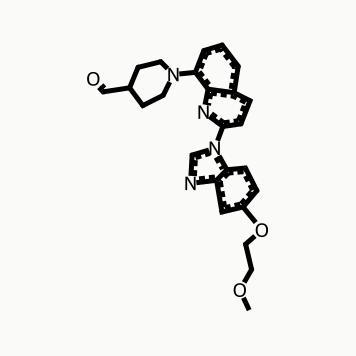 COCCOc1ccc2c(c1)ncn2-c1ccc2cccc(N3CCC(C=O)CC3)c2n1